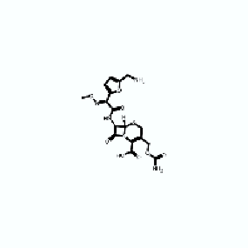 CON=C(C(=O)N[C@@H]1C(=O)N2C(C(=O)O)=C(COC(N)=O)CS[C@@H]12)c1ccc(CN)o1